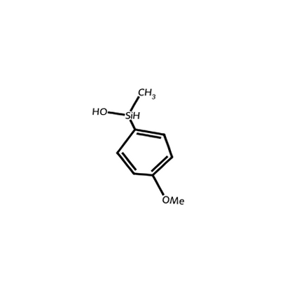 COc1ccc([SiH](C)O)cc1